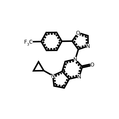 O=c1nc2ccn(C3CC3)c2cn1-c1ncoc1-c1ccc(C(F)(F)F)cc1